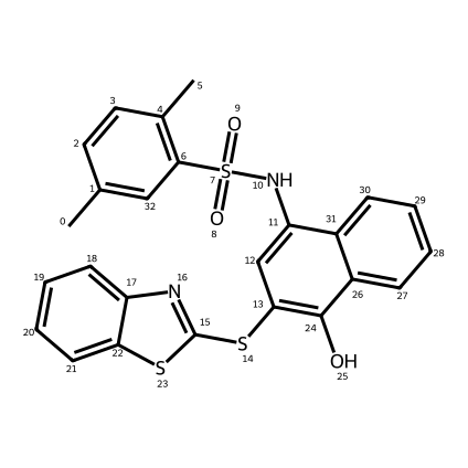 Cc1ccc(C)c(S(=O)(=O)Nc2cc(Sc3nc4ccccc4s3)c(O)c3ccccc23)c1